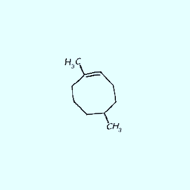 CC1=CCCC(C)CCC1